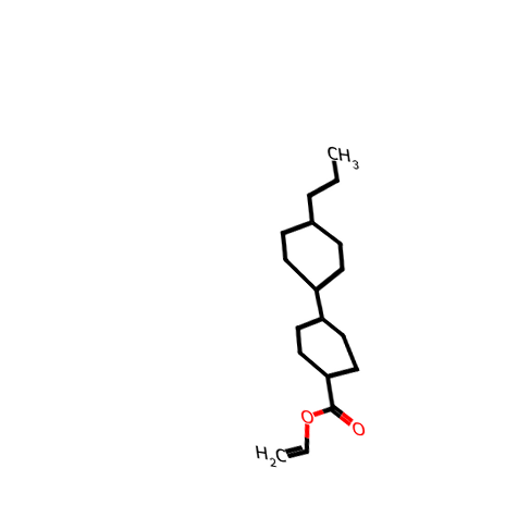 C=COC(=O)C1CCC(C2CCC(CCC)CC2)CC1